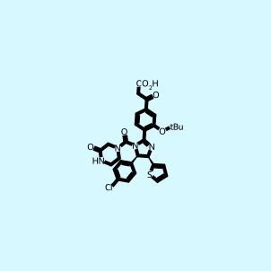 CC(C)(C)Oc1cc(C(=O)CC(=O)O)ccc1C1=N[C@@H](c2cccs2)[C@@H](c2ccc(Cl)cc2)N1C(=O)N1CCNC(=O)C1